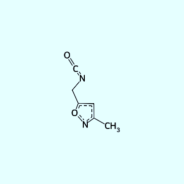 Cc1cc(CN=C=O)on1